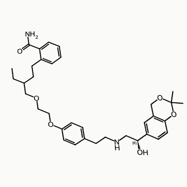 CCC(CCc1ccccc1C(N)=O)COCCOc1ccc(CCNC[C@H](O)c2ccc3c(c2)COC(C)(C)O3)cc1